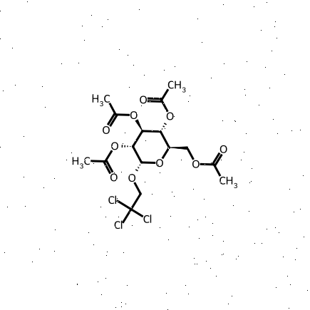 CC(=O)OC[C@H]1O[C@H](OCC(Cl)(Cl)Cl)[C@H](OC(C)=O)[C@@H](OC(C)=O)[C@@H]1OC(C)=O